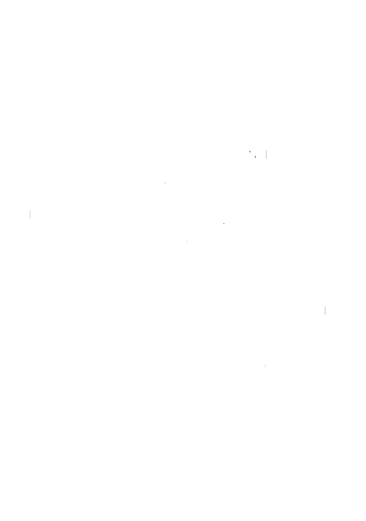 O=C(OC1(c2ccc(Cl)c(C(F)(F)F)c2)CCNCC1)c1cc(I)cc(I)c1I